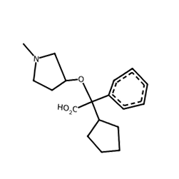 CN1CCC(OC(C(=O)O)(c2ccccc2)C2CCCC2)C1